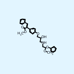 COC(=O)C(=Cc1ccccc1)c1ccc(OCC(O)CNCC(OC)Oc2ccccc2)cc1